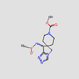 CC(C)(C)OC(=O)N1CCC2(CC1)Cn1cnnc1C2=N[S+]([O-])C(C)(C)C